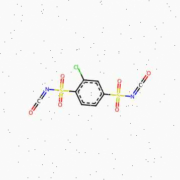 O=C=NS(=O)(=O)c1ccc(S(=O)(=O)N=C=O)c(Cl)c1